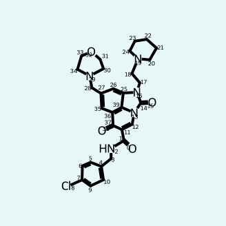 O=C(NCc1ccc(Cl)cc1)c1cn2c(=O)n(CCN3CCCCC3)c3cc(CN4CCOCC4)cc(c1=O)c32